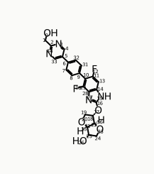 OCc1ncc(-c2ccc(-c3c(F)cc4[nH]c(O[C@@H]5CO[C@H]6[C@@H]5OC[C@H]6O)nc4c3F)cc2)cn1